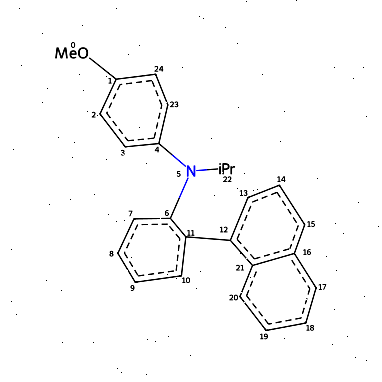 COc1ccc(N(c2ccccc2-c2cccc3ccccc23)C(C)C)cc1